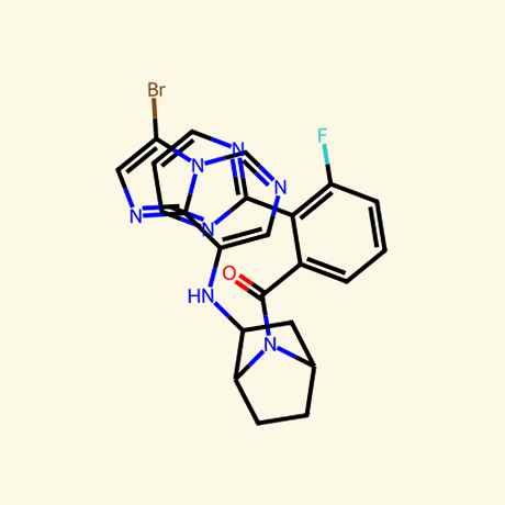 O=C(c1cccc(F)c1-c1ncccn1)N1C2CCC1C(Nc1cncn3c(Br)cnc13)C2